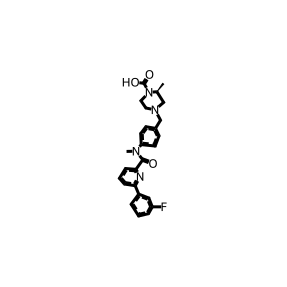 C[C@H]1CN(Cc2ccc(N(C)C(=O)c3cccc(-c4cccc(F)c4)n3)cc2)CCN1C(=O)O